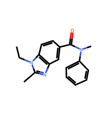 CCn1c(C)nc2cc(C(=O)N(C)c3ccccc3)ccc21